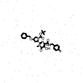 Cn1c([C@@H]2C[C@@H](OCc3ccccc3)CN2C(=O)OC(C)(C)C)nc(C(=O)NCc2ccc(F)cc2)c(O)c1=O